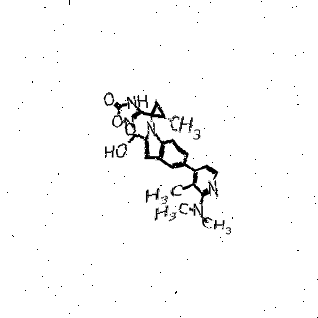 Cc1c(-c2ccc3c(c2)cc(C(=O)O)n3[C@@]2(c3noc(=O)[nH]3)C[C@@H]2C)ccnc1N(C)C